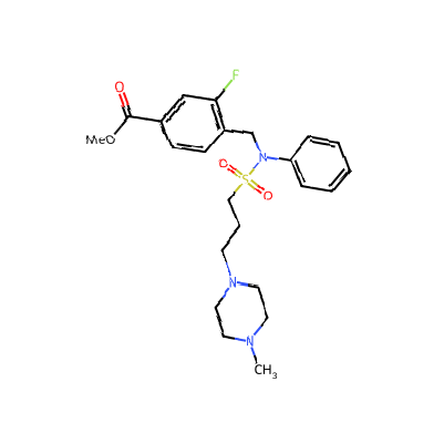 COC(=O)c1ccc(CN(c2ccccc2)S(=O)(=O)CCCN2CCN(C)CC2)c(F)c1